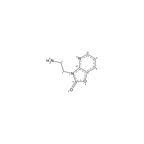 NCCn1c(=O)oc2cccnc21